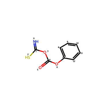 N=C(S)OC(=O)Oc1ccccc1